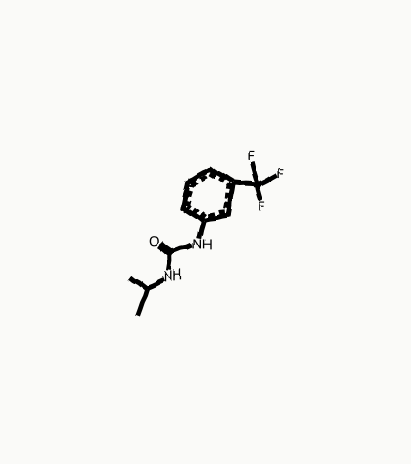 CC(C)NC(=O)Nc1cccc(C(F)(F)F)c1